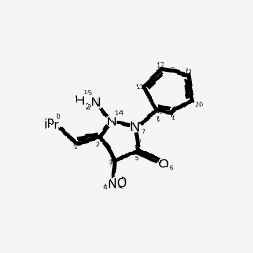 CC(C)C=C1C(N=O)C(=O)N(c2ccccc2)N1N